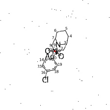 CC(=O)N1CC2CCCC(C1)N2S(=O)(=O)c1ccc(Cl)cc1